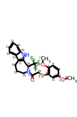 COc1ccc(OC)c(SCC(=O)N2CCCc3c([nH]c4ccccc34)C2C(F)(F)F)c1